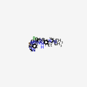 CCc1cc(Nc2ncc(Br)c(Nc3ccc4nccnc4c3N(C)SC(C)C)n2)c(OC)cc1N1CCC(N(C)C)C1